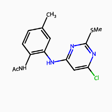 CSc1nc(Cl)cc(Nc2cc(C)ccc2NC(C)=O)n1